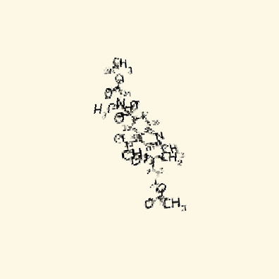 C=C(CCCOC(C)=O)C(=O)c1c(C)nc2ccc(S(=O)(=O)N(C)CC(=O)OCC)cc2c1C(C)=O